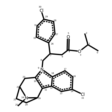 CC(C)OC(=O)CC(Cn1c2c(c3cc(Cl)ccc31)C1CCC(C2)N1C)c1ccc(Cl)cc1